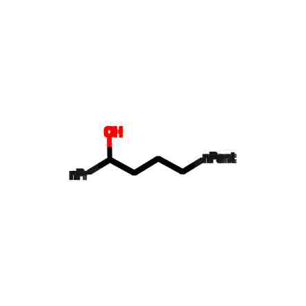 CCCCCCCCC(O)CCC